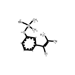 CCC(=C(C)C#N)c1cccc(O[Si](C)(C)C(C)(C)C)c1